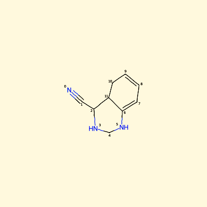 N#CC1NCNC2=CC=CCC21